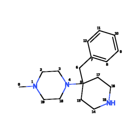 CN1CCN(C2(Cc3ccccc3)CCNCC2)CC1